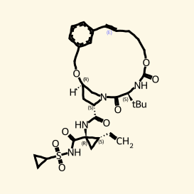 C=C[C@@H]1C[C@]1(NC(=O)[C@@H]1C[C@@H]2CN1C(=O)[C@H](C(C)(C)C)NC(=O)OCCC/C=C/c1cccc(c1)CO2)C(=O)NS(=O)(=O)C1CC1